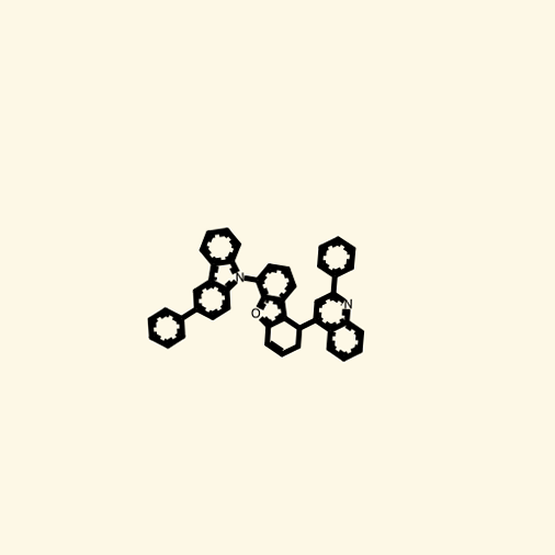 C1=Cc2oc3c(-n4c5ccccc5c5cc(-c6ccccc6)ccc54)cccc3c2C(c2cc(-c3ccccc3)nc3ccccc23)C1